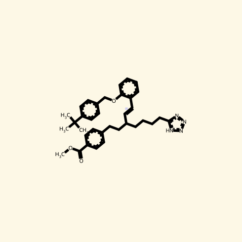 COC(=O)c1ccc(CCC(/C=C/c2ccccc2OCc2ccc(C(C)(C)C)cc2)CCCCc2nnn[nH]2)cc1